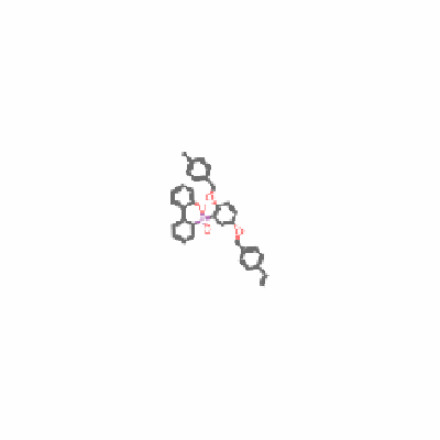 C=Cc1ccc(COc2ccc(OCc3ccc(C)cc3)c(P3(=O)Oc4ccccc4-c4ccccc43)c2)cc1